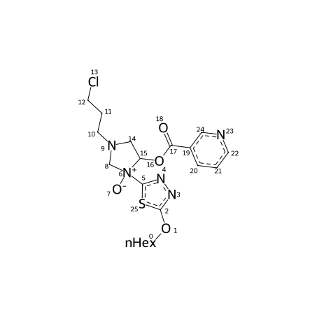 CCCCCCOc1nnc([N+]2([O-])CN(CCCCl)CC2OC(=O)c2cccnc2)s1